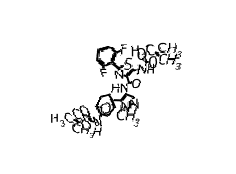 Cn1ncc(NC(=O)c2nc(-c3c(F)cccc3F)sc2NC(=O)OC(C)(C)C)c1C12CCC(NC(=O)OC(C)(C)C)C(CC1)O2